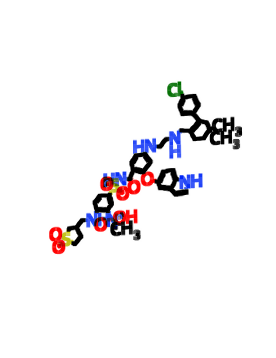 CC1(C)CCC(CNCCNc2ccc(C(=O)NS(=O)(=O)c3ccc(NCC4CCS(=O)(=O)C4)c([N+](C)([O-])O)c3)c(Oc3ccc4[nH]ccc4c3)c2)=C(c2ccc(Cl)cc2)C1